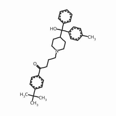 Cc1ccc(C(O)(c2ccccc2)C2CCN(CCCC(=O)c3ccc(C(C)(C)C)cc3)CC2)cc1